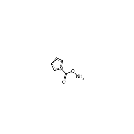 NOC(=O)n1cccc1